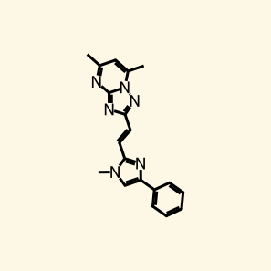 Cc1cc(C)n2nc(C=Cc3nc(-c4ccccc4)cn3C)nc2n1